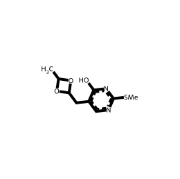 CSc1ncc(CC2OC(C)O2)c(O)n1